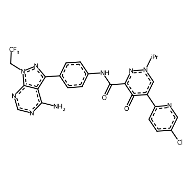 CC(C)n1cc(-c2ccc(Cl)cn2)c(=O)c(C(=O)Nc2ccc(-c3nn(CC(F)(F)F)c4ncnc(N)c34)cc2)n1